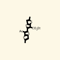 CCOC(=O)c1c(-c2sc3cc(C)sc3c2C(C)=O)sc2cc(C)sc12